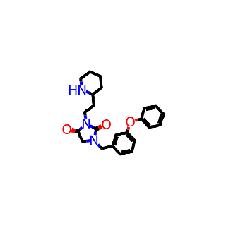 O=C1CN(Cc2cccc(Oc3ccccc3)c2)C(=O)N1CCC1CCCCN1